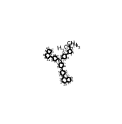 CC(C)(C)c1cccc(-c2ccc(N(c3ccc(-c4ccc(-c5cccc6ccccc56)cc4)cc3)c3ccc(-c4cccc5ccccc45)cc3)cc2)c1